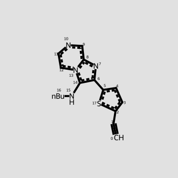 C#Cc1ccc(-c2nc3cnccn3c2NCCCC)s1